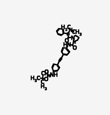 CN(C)[C@@H](C(=O)N1CCC[C@H]1C(=O)Nc1ccc(C#Cc2ccc(NC(=O)OC(C)(C)C)cc2)cc1)c1ccccc1